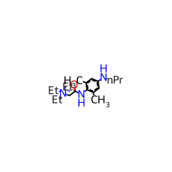 CCCNc1cc(C)c(NC(=O)C[N+](CC)(CC)CC)c(C)c1